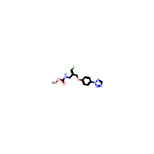 CC(C)(C)OC(=O)NC/C(=C/F)COc1ccc(-n2ncnn2)cc1